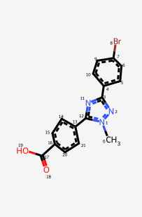 Cn1nc(-c2ccc(Br)cc2)nc1-c1ccc(C(=O)O)cc1